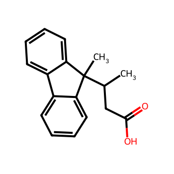 CC(CC(=O)O)C1(C)c2ccccc2-c2ccccc21